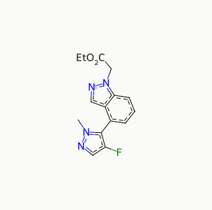 CCOC(=O)Cn1ncc2c(-c3c(F)cnn3C)cccc21